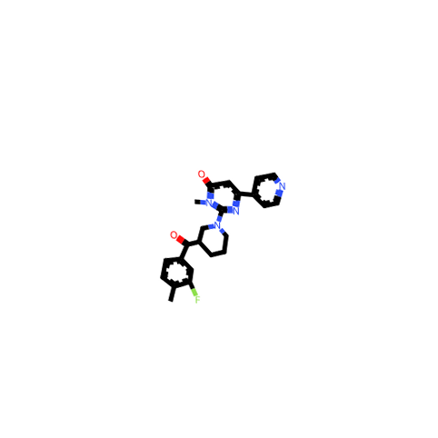 Cc1ccc(C(=O)C2CCCN(c3nc(-c4ccncc4)cc(=O)n3C)C2)cc1F